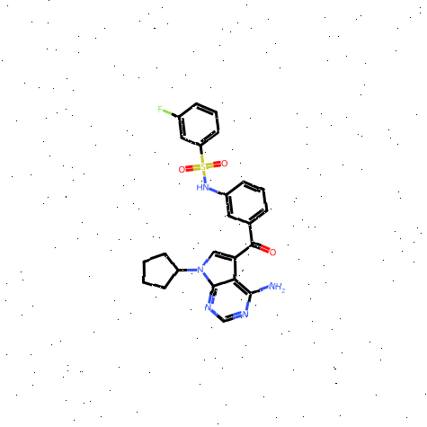 Nc1ncnc2c1c(C(=O)c1cccc(NS(=O)(=O)c3cccc(F)c3)c1)cn2C1CCCC1